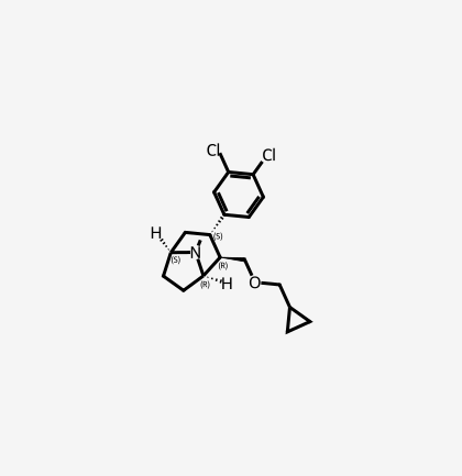 CN1[C@H]2CC[C@@H]1[C@H](COCC1CC1)[C@@H](c1ccc(Cl)c(Cl)c1)C2